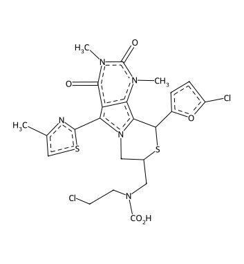 Cc1csc(-c2c3c(=O)n(C)c(=O)n(C)c3c3n2CC(CN(CCCl)C(=O)O)SC3c2ccc(Cl)o2)n1